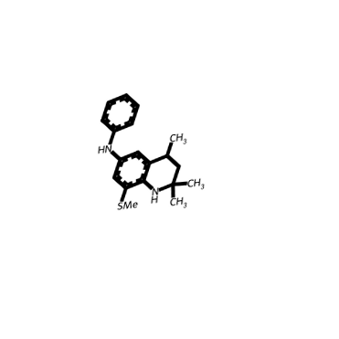 CSc1cc(Nc2ccccc2)cc2c1NC(C)(C)CC2C